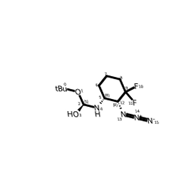 CC(C)(C)O[C@H](O)N[C@@H]1CCCC(F)(F)[C@@H]1N=[N+]=[N-]